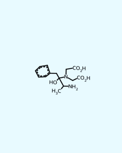 CC(N)C(O)(Cc1ccccc1)N(CC(=O)O)CC(=O)O